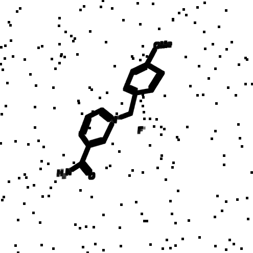 COc1ccc(C[n+]2cccc(C(N)=O)c2)cc1.[F-]